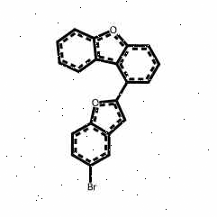 Brc1ccc2oc(-c3cccc4oc5ccccc5c34)cc2c1